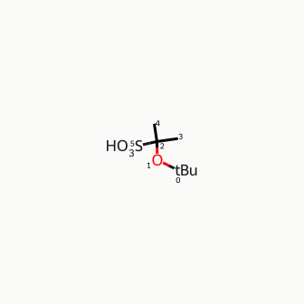 CC(C)(C)OC(C)(C)S(=O)(=O)O